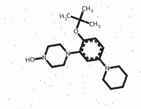 CC(C)(C)Oc1ccc(N2CCCCC2)cc1N1CCN(O)CC1